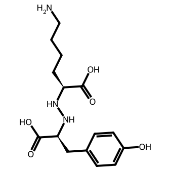 NCCCC[C@H](NN[C@@H](Cc1ccc(O)cc1)C(=O)O)C(=O)O